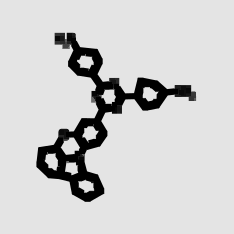 Bc1ccc(-c2nc(-c3ccc(B)cc3)nc(-c3ccc4c(c3)Oc3cccc5c6ccccc6n-4c35)n2)cc1